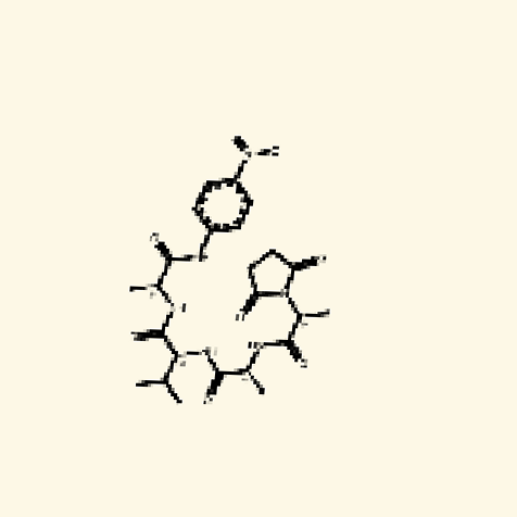 CC(C)[C@H](NC(=O)[C@H](C)NC(=O)[C@H](C)N1C(=O)CCC1=O)C(=O)N[C@@H](C)C(=O)Nc1ccc([N+](=O)[O-])cc1